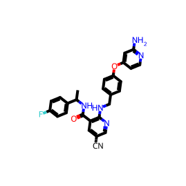 CC(NC(=O)c1cc(C#N)cnc1NCc1ccc(Oc2ccnc(N)c2)cc1)c1ccc(F)cc1